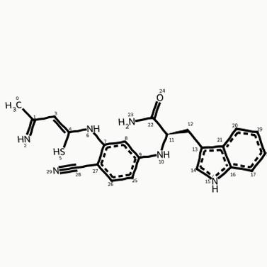 CC(=N)/C=C(\S)Nc1cc(N[C@H](Cc2c[nH]c3ccccc23)C(N)=O)ccc1C#N